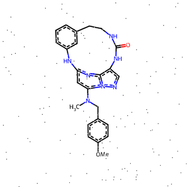 COc1ccc(CN(C)c2cc3nc4c(cnn24)NC(=O)NCCc2cccc(c2)N3)cc1